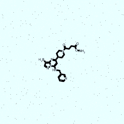 Bc1cnn2c(NCc3cccnc3)cc(C3CCN(C(=O)CCC(=O)ON)CC3)nc12